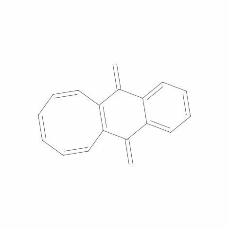 C=c1c2c(c(=C)c3ccccc13)C=CC=CC=C2